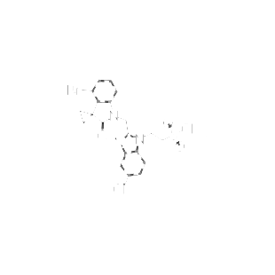 CS(=O)(=O)CCn1c(CN2C(=O)C3(CC3)c3c(Br)cccc32)nc2cc(Cl)ccc21